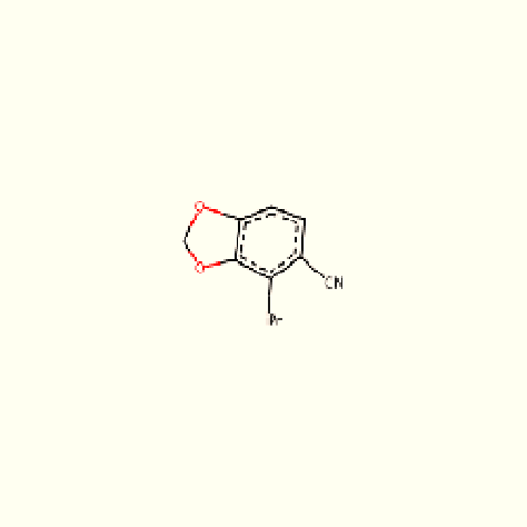 CC(C)c1c(C#N)ccc2c1OCO2